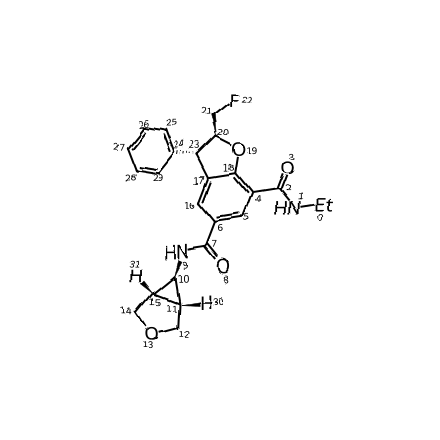 CCNC(=O)c1cc(C(=O)N[C@H]2[C@@H]3COC[C@@H]32)cc2c1O[C@H](CF)[C@H]2c1ccccc1